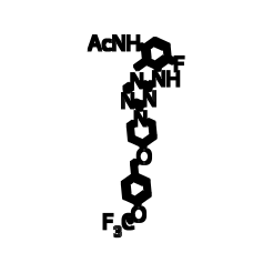 CC(=O)Nc1ccc(F)c(Nc2ncnc(N3CCC(OCc4ccc(OC(F)(F)F)cc4)CC3)n2)c1C